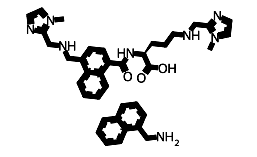 Cn1ccnc1CNCCC[C@H](NC(=O)c1ccc(CNCc2nccn2C)c2ccccc12)C(=O)O.NCc1cccc2ccccc12